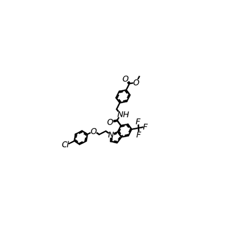 COC(=O)c1ccc(CNC(=O)c2cc(C(F)(F)F)cc3ccn(CCOc4ccc(Cl)cc4)c23)cc1